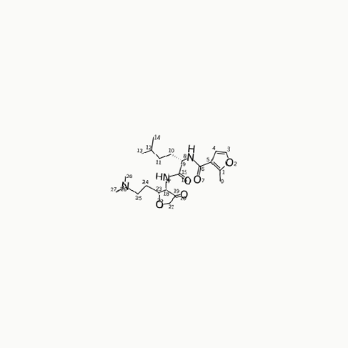 Cc1occc1C(=O)N[C@@H](CCC(C)C)C(=O)NC1C(=O)COC1CCN(C)C